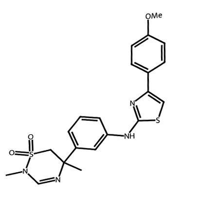 COc1ccc(-c2csc(Nc3cccc(C4(C)CS(=O)(=O)N(C)C=N4)c3)n2)cc1